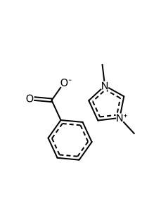 Cn1cc[n+](C)c1.O=C([O-])c1ccccc1